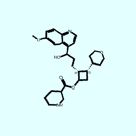 COc1ccc2nccc(C(O)CC[C@H]3C(OC(=O)C4CCCNC4)C[C@H]3C3CCOCC3)c2c1